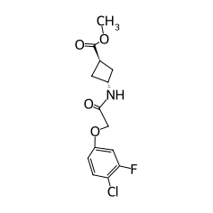 COC(=O)[C@H]1C[C@H](NC(=O)COc2ccc(Cl)c(F)c2)C1